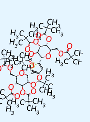 CC(C)(C)C(=O)OC[C@H]1O[C@H](c2ccc([C@H]3O[C@H](COC(=O)C(C)(C)C)[C@@H](OC(=O)C(C)(C)C)[C@H](OC(=O)C(C)(C)C)[C@@H]3OC(=O)C(C)(C)C)s2)[C@@H](OC(=O)C(C)(C)C)[C@@H](OC(=O)C(C)(C)C)[C@@H]1OC(=O)C(C)(C)C